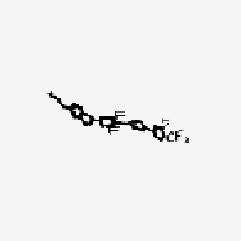 C=CCCc1ccc2cc(-c3cc(F)c(-c4ccc(-c5ccc(C(F)(F)F)c(F)c5)cc4)c(F)c3)ccc2c1